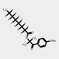 COc1ccc(C(=O)C(C)(C)OC(=O)C(F)(F)C(F)(F)C(F)(F)C(F)(F)C(F)(F)C(F)(F)C(F)(F)F)cc1